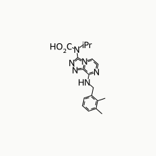 Cc1cccc(CNc2nccn3c(N(C(=O)O)C(C)C)nnc23)c1C